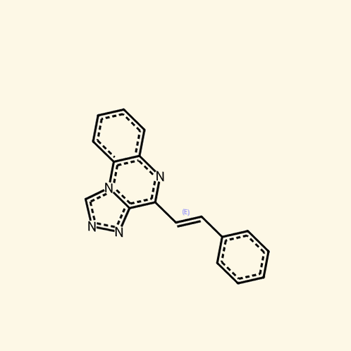 C(=C\c1nc2ccccc2n2cnnc12)/c1ccccc1